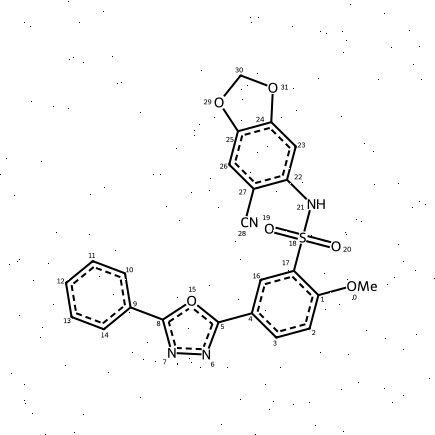 COc1ccc(-c2nnc(-c3ccccc3)o2)cc1S(=O)(=O)Nc1cc2c(cc1C#N)OCO2